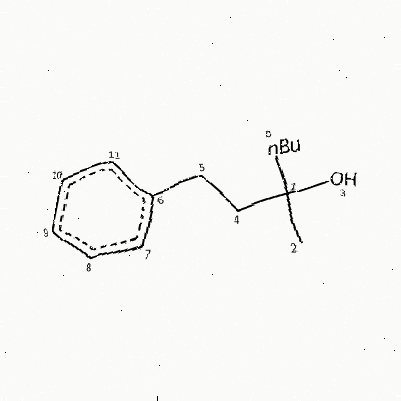 CCCCC(C)(O)CCc1ccccc1